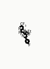 CCS(=O)(=O)c1cc(-c2ccc(F)cc2)cnc1C1=Nc2cc(C(F)(F)F)cnc2C1(F)F